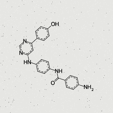 Nc1ccc(C(=O)Nc2ccc(Nc3cc(-c4ccc(O)cc4)ncn3)cc2)cc1